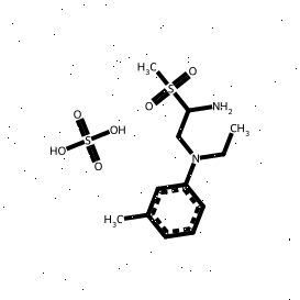 CCN(CC(N)S(C)(=O)=O)c1cccc(C)c1.O=S(=O)(O)O